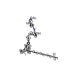 CC(=O)O[C@@H](C)/C=C\C(=O)N[C@@H]1C[C@H](C)[C@H](C/C=C(C)/C=C/[C@H]2O[C@H](CC(=O)N(C)CCN(C)C(=O)OCc3ccc(NC(=O)[C@H](CCCNC(N)=O)NC(=O)[C@@H](NC(=O)CCOCCOCCOCCOCCOCCOCCNC(=O)CI)C(C)C)cc3)C[C@@]3(CO3)[C@@H]2O)O[C@@H]1C